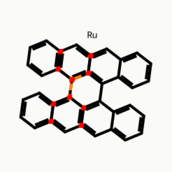 [Ru].c1ccc(P(c2ccccc2)c2ccc3ccccc3c2-c2c(P(c3ccccc3)c3ccccc3)ccc3ccccc23)cc1